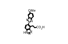 COc1ccc2nn(-c3ccc4c(c3CCC(=O)O)N=[N+]N4)nc2c1